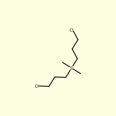 C[Si](C)(CCCCl)CCCCl